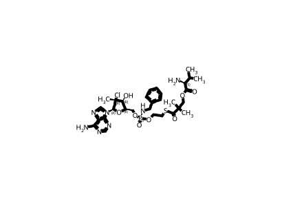 CC(C)[C@H](N)C(=O)OCC(C)(C)C(=O)SCCO[P@](=O)(NCc1ccccc1)OC[C@H]1O[C@@H](n2cnc3c(N)ncnc32)[C@](C)(Cl)[C@@H]1O